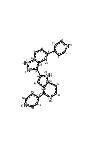 c1cc(-c2ccc3[nH]nc(-c4cc5c(-c6ccncc6)nccc5[nH]4)c3n2)ccn1